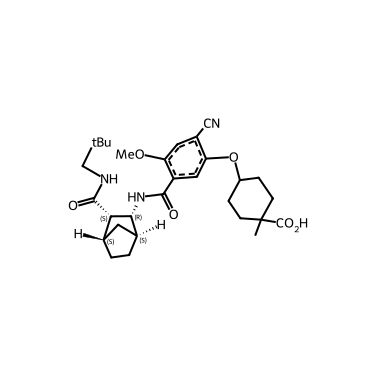 COc1cc(C#N)c(OC2CCC(C)(C(=O)O)CC2)cc1C(=O)N[C@@H]1[C@H]2CC[C@@H](C2)[C@@H]1C(=O)NCC(C)(C)C